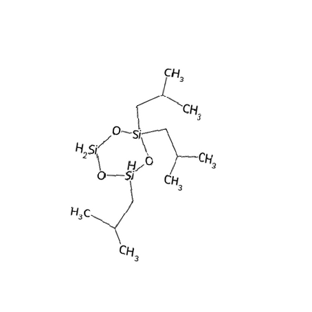 CC(C)C[SiH]1O[SiH2]O[Si](CC(C)C)(CC(C)C)O1